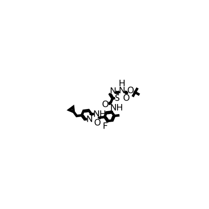 Cc1cc(F)c(C(=O)Nc2ccc(CC3CC3)cn2)cc1NC(=O)c1cnc(NC(=O)OC(C)(C)C)s1